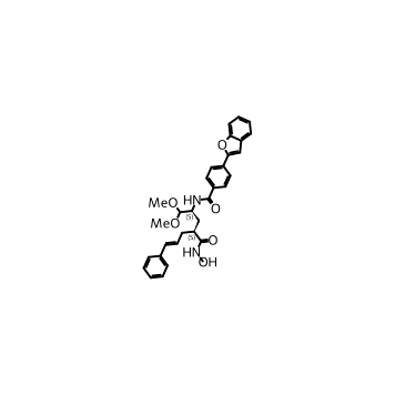 COC(OC)[C@H](C[C@H](CC=Cc1ccccc1)C(=O)NO)NC(=O)c1ccc(-c2cc3ccccc3o2)cc1